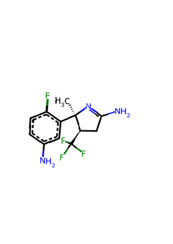 C[C@]1(c2cc(N)ccc2F)N=C(N)C[C@H]1C(F)(F)F